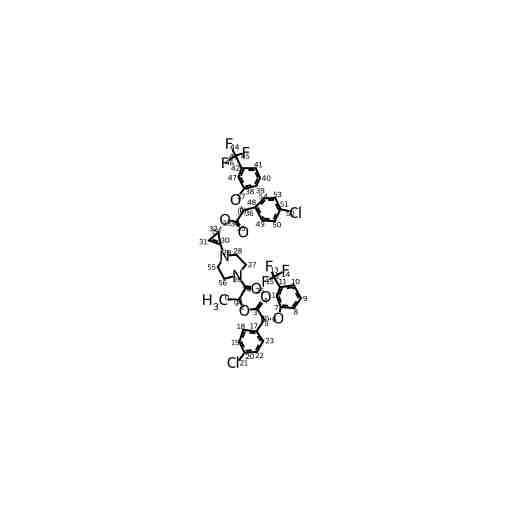 C[C@H](OC(=O)[C@H](Oc1cccc(C(F)(F)F)c1)c1ccc(Cl)cc1)C(=O)N1CCN(C2=C[C@@H]2OC(=O)[C@H](Oc2cccc(C(F)(F)F)c2)c2ccc(Cl)cc2)CC1